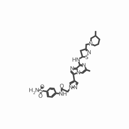 Cc1cn2c(-c3cnn(CC(=O)Nc4ccc(S(N)(=O)=O)cc4)c3)cnc2c(NC2CC(CN3CCCC(C)C3)=NS2)n1